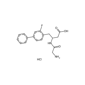 Cl.NCC(=O)NC(CC(=O)O)Cc1ccc(-c2ccccc2)cc1F